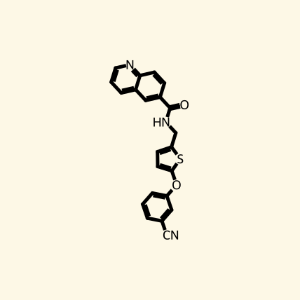 N#Cc1cccc(Oc2ccc(CNC(=O)c3ccc4ncccc4c3)s2)c1